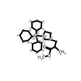 COC(=O)C(C)CN1CCN([Si](C2CCCCC2)(C2CCCCC2)C2CCCCC2)C1